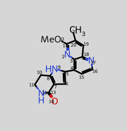 COc1nc2c(-c3cc4c([nH]3)CCNC4=O)ccnc2cc1C